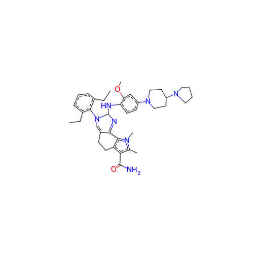 CCc1cccc(CC)c1N1C=C2CCc3c(C(N)=O)c(C)n(C)c3C2=NC1Nc1ccc(N2CCC(N3CCCC3)CC2)cc1OC